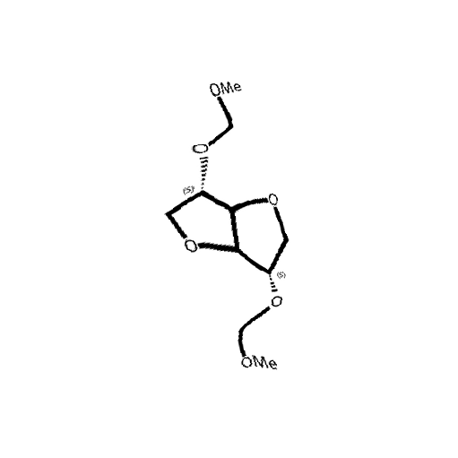 COCO[C@H]1COC2C1OC[C@@H]2OCOC